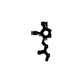 COC(=O)OC[C@H]1O[CH][C@H](O)[C@@H]1O